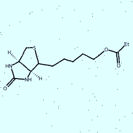 CCC(=O)OCCCCCC1SC[C@@H]2NC(=O)N[C@H]12